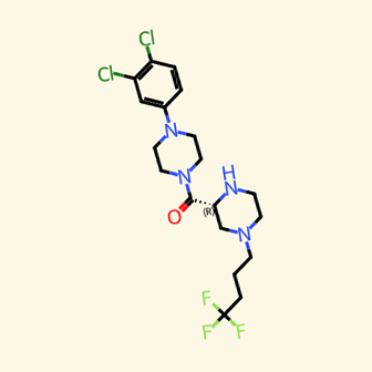 O=C([C@H]1CN(CCCC(F)(F)F)CCN1)N1CCN(c2ccc(Cl)c(Cl)c2)CC1